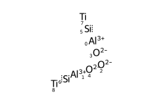 [Al+3].[Al+3].[O-2].[O-2].[O-2].[Si].[Si].[Ti].[Ti]